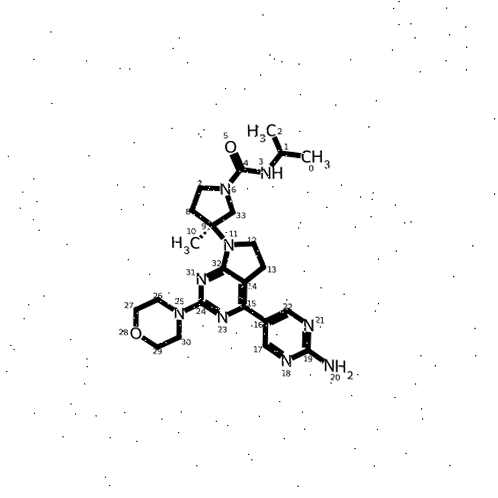 CC(C)NC(=O)N1CC[C@](C)(N2CCc3c(-c4cnc(N)nc4)nc(N4CCOCC4)nc32)C1